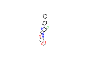 Clc1cc2[nH]c(OC3CCC4(CC3)OCCO4)cc2nc1-c1ccc(-c2ccccc2)cc1